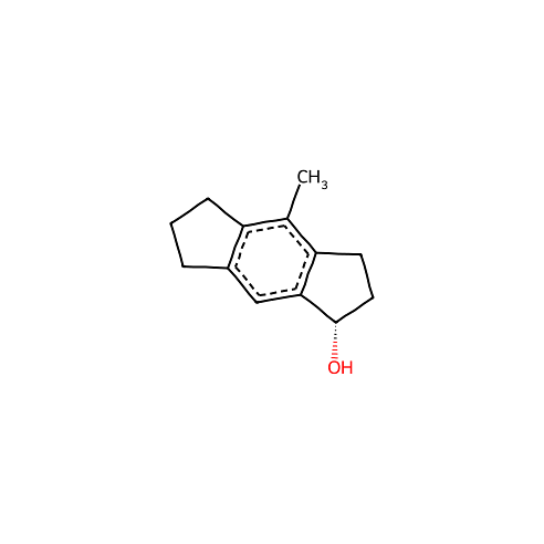 Cc1c2c(cc3c1CC[C@@H]3O)CCC2